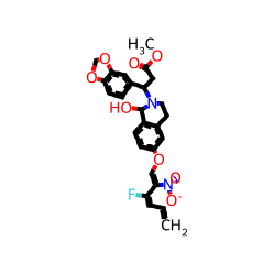 C=C/C=C(F)\C(=C\Oc1ccc2c(c1)CCN(C(CC(=O)OC)c1ccc3c(c1)OCO3)C2O)[N+](=O)[O-]